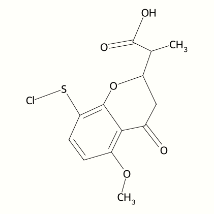 COc1ccc(SCl)c2c1C(=O)CC(C(C)C(=O)O)O2